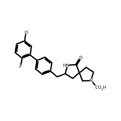 O=C(O)N1CCC2(CC(Cc3ccc(-c4cc(Cl)ccc4F)cc3)NC2=O)C1